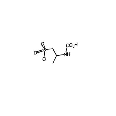 CC(CS(=O)(=O)Cl)NC(=O)O